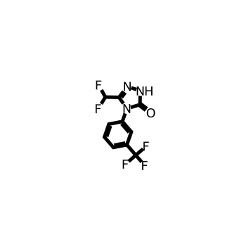 O=c1[nH]nc(C(F)F)n1-c1cccc(C(F)(F)F)c1